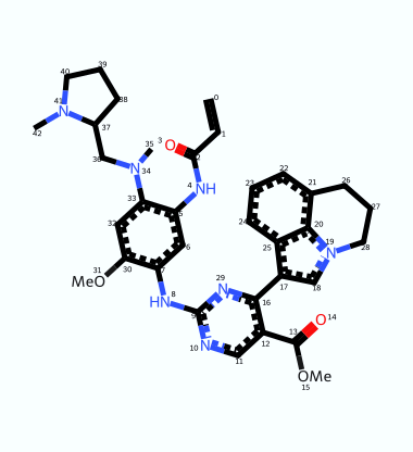 C=CC(=O)Nc1cc(Nc2ncc(C(=O)OC)c(-c3cn4c5c(cccc35)CCC4)n2)c(OC)cc1N(C)CC1CCCN1C